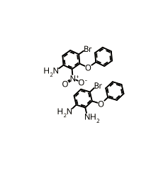 Nc1ccc(Br)c(Oc2ccccc2)c1N.Nc1ccc(Br)c(Oc2ccccc2)c1[N+](=O)[O-]